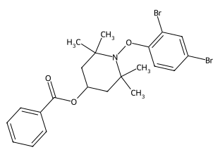 CC1(C)CC(OC(=O)c2ccccc2)CC(C)(C)N1Oc1ccc(Br)cc1Br